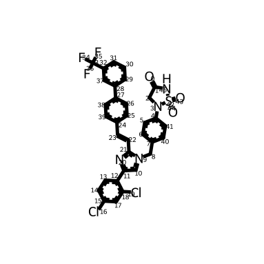 O=C1CN(c2ccc(Cn3cc(-c4ccc(Cl)cc4Cl)nc3C=Cc3ccc(-c4cccc(C(F)(F)F)c4)cc3)cc2)S(=O)(=O)N1